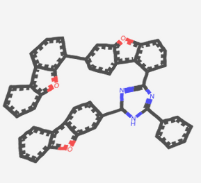 c1ccc(C2=NC(c3cccc4oc5cc(-c6cccc7c6oc6ccccc67)ccc5c34)=NC(c3ccc4c(c3)oc3ccccc34)N2)cc1